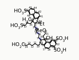 CC[N+]1=C(/C=C/C=C/C=C2/N(CCCCCC(=O)O)c3ccc4c(S(=O)(=O)O)cc(S(=O)(=O)O)cc4c3C2(C)CCOC)C(C)(CCCS(=O)(=O)O)c2c1ccc1ccc(S(=O)(=O)O)cc21